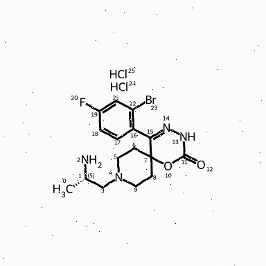 C[C@H](N)CN1CCC2(CC1)OC(=O)NN=C2c1ccc(F)cc1Br.Cl.Cl